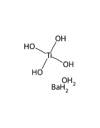 O.[BaH2].[OH][Ti]([OH])([OH])[OH]